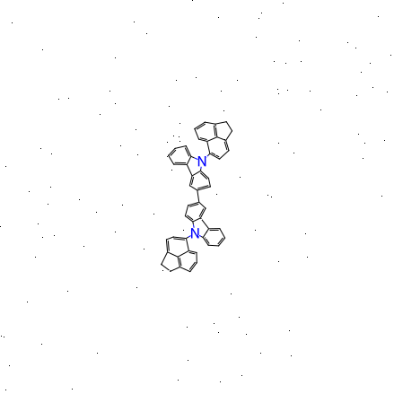 c1cc2c3c(ccc(-n4c5ccccc5c5cc(-c6ccc7c(c6)c6ccccc6n7-c6ccc7c8c(cccc68)CC7)ccc54)c3c1)CC2